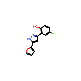 Oc1ccc(F)cc1-c1cc(-c2ccco2)[nH]n1